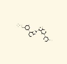 CS(=O)(=O)NCc1cc(F)cc(-c2ccnc3[nH]c(-c4n[nH]c5ncc(-c6cncc(N)c6)c(F)c45)nc23)c1